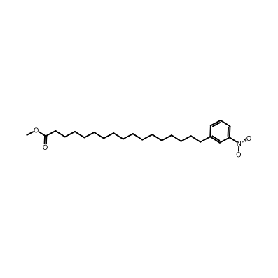 COC(=O)CCCCCCCCCCCCCCCCc1cccc([N+](=O)[O-])c1